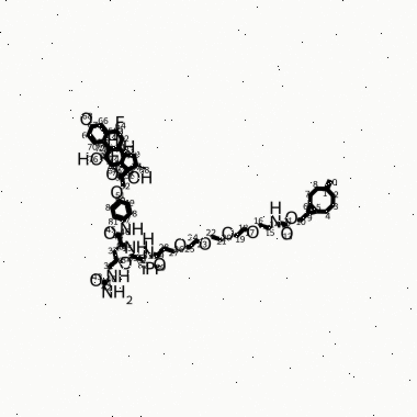 C=C1CCCC2C(CC1)C2COC(=O)NCCOCCOCCOCCOCCC(=O)N[C@H](C(=O)N[C@@H](CCCNC(N)=O)C(=O)Nc1ccc(OCC(=O)[C@@]2(O)[C@H](C)C[C@H]3[C@@H]4C[C@H](F)C5=CC(=O)C=C[C@]5(C)[C@@]4(F)[C@@H](O)C[C@@]32C)cc1)C(C)C